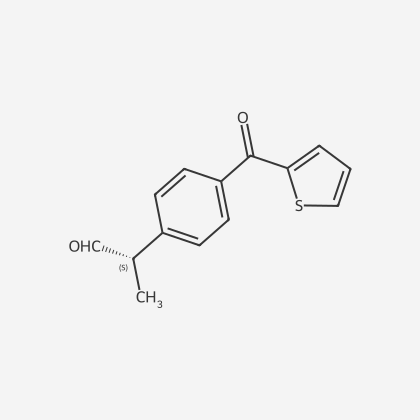 C[C@H](C=O)c1ccc(C(=O)c2cccs2)cc1